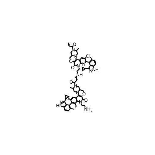 C=CC(=O)N1CC2COc3c(c4cc(Cl)c(-c5c(C)ccc6[nH]nc(C7CC7)c56)nc4n(CCN/C=C/C(=O)N4CC5COc6c(c7cc(Cl)c(-c8c(C)ccc9[nH]nc(C%10CC%10)c89)c(F)c7n(CCN)c6=O)N5CC4C)c3=O)N2CC1C